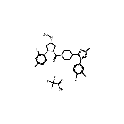 Cc1nc(C2CCN(C(=O)[C@@H]3CC(NC(C)(C)C)C[C@H]3c3ccc(F)cc3F)CC2)n(-c2ccc(Cl)c(C)c2)n1.O=C(O)C(F)(F)F